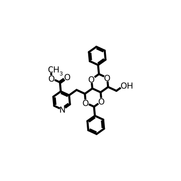 COC(=O)c1ccncc1CC1OC(c2ccccc2)OC2C(CO)OC(c3ccccc3)OC12